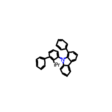 CC(C)c1c(-c2ccccc2)cccc1-n1c2ccccc2c2cccc(-c3ccccc3)c21